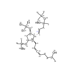 CCCCC(C)(C/C=C/[C@H]1[C@H](O[Si](CC)(CC)CC)CC(O[Si](C)(C)C(C)(C)C)[C@@H]1CC=C=CCCC(C)O)O[Si](C)(C)C